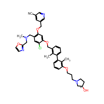 Cc1c(COc2cc(OCc3cncc(C#N)c3)c(CN(C)Cc3ncco3)cc2Cl)cccc1-c1cccc(OCCCN2CC[C@@H](O)C2)c1C